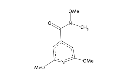 COc1cc(C(=O)N(C)OC)cc(OC)n1